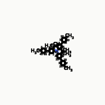 Cc1ccc(-c2ccc3c(c2)C(C)(C)c2cc(-c4ccc(C)cc4)cc4c2N3c2ccc(-c3ccc(C)cc3)cc2C4(C)C)cc1